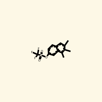 Cc1cc2ccc(OS(=O)(=O)C(F)(F)F)cc2c(C)c1C